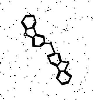 c1ccc2c(c1)oc1ccc(Sc3ccc4c(c3)sc3ccccc34)cc12